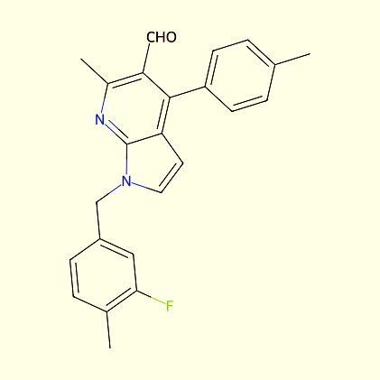 Cc1ccc(-c2c(C=O)c(C)nc3c2ccn3Cc2ccc(C)c(F)c2)cc1